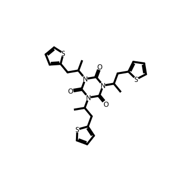 CC(Cc1cccs1)n1c(=O)n(C(C)Cc2cccs2)c(=O)n(C(C)Cc2cccs2)c1=O